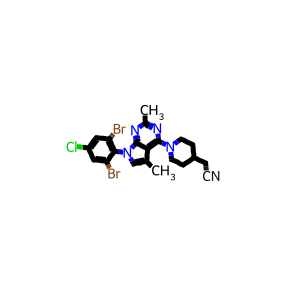 Cc1nc(N2CCC(CC#N)CC2)c2c(C)cn(-c3c(Br)cc(Cl)cc3Br)c2n1